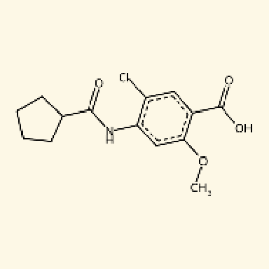 COc1cc(NC(=O)C2CCCC2)c(Cl)cc1C(=O)O